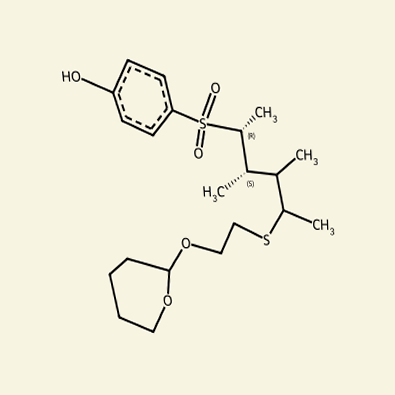 CC(SCCOC1CCCCO1)C(C)[C@H](C)[C@@H](C)S(=O)(=O)c1ccc(O)cc1